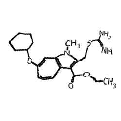 CCOC(=O)c1c(CSC(=N)N)n(C)c2cc(OC3CCCCC3)ccc12